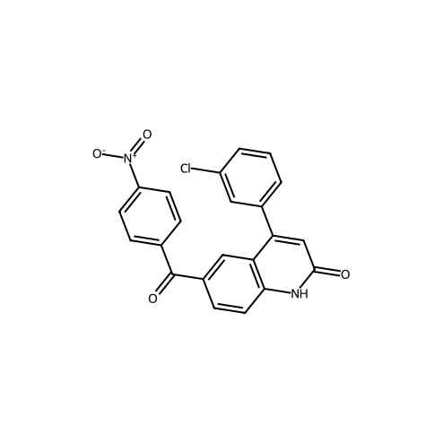 O=C(c1ccc([N+](=O)[O-])cc1)c1ccc2[nH]c(=O)cc(-c3cccc(Cl)c3)c2c1